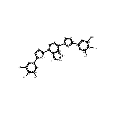 Fc1cc(-c2ccc(-c3ccc(-c4ccc(-c5cc(F)c(F)c(F)c5)s4)c4nsnc34)s2)cc(F)c1F